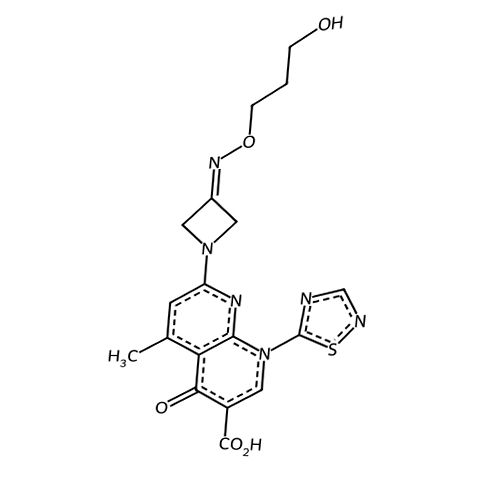 Cc1cc(N2CC(=NOCCCO)C2)nc2c1c(=O)c(C(=O)O)cn2-c1ncns1